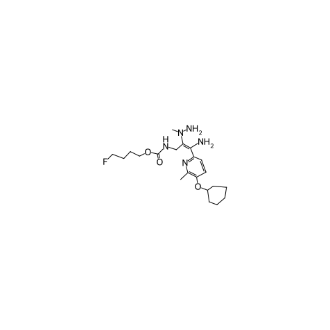 Cc1nc(/C(N)=C(\CNC(=O)OCCCCF)N(C)N)ccc1OC1CCCCC1